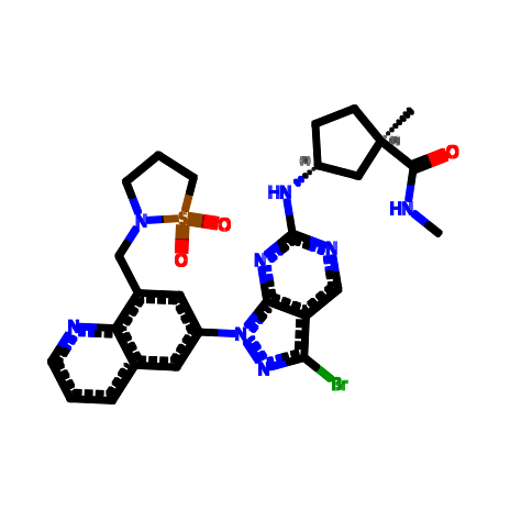 CNC(=O)[C@]1(C)CC[C@@H](Nc2ncc3c(Br)nn(-c4cc(CN5CCCS5(=O)=O)c5ncccc5c4)c3n2)C1